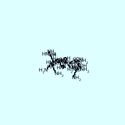 C[C@H](NC(=O)C(Cc1cnc[nH]1)NC(=O)[C@@H]1CCCN1C(=O)[C@@H](CCCN)NC(=O)CNC(=O)[C@@H](NC(=O)[C@@H](NC(=O)C(N)CCCCN)[C@@H](O)CN)[C@@H](O)CN)C(=O)N/C(=C\CCNC(=N)N)C(=O)N[C@@H](CCCCN)C(=O)NCCCCN